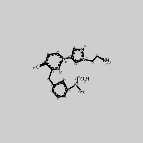 CCN(C(=O)O)c1cccc(Cc2nn(-c3cnn(CCN)c3)ccc2=O)c1